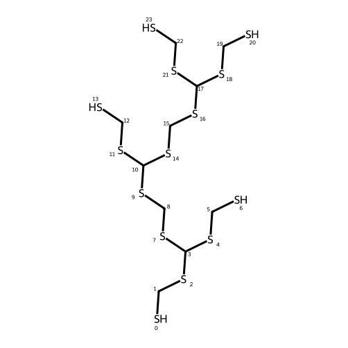 SCSC(SCS)SCSC(SCS)SCSC(SCS)SCS